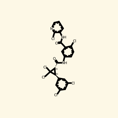 O=C(Nc1cccnc1Cl)c1cc(NC(=O)[C@@H]2[C@@H](c3cc(Cl)cc(Cl)c3)C2(Cl)Cl)ccc1Cl